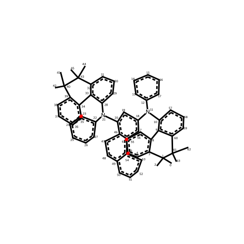 CC1(C)c2ccccc2-c2c(N(c3ccccc3)c3cc(N(c4ccccc4)c4cccc5c4-c4ccccc4C(C)(C)C5(C)C)c4ccc5ccccc5c4c3)cccc2C1(C)C